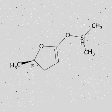 C[C@@H]1CC=C(O[SiH](C)C)O1